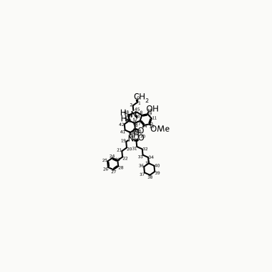 C=CCN1CC[C@]23c4c5c(O)cc(OC)c4O[C@H]2[C@@H](N(CCCCc2ccccc2)C(=O)CCCCC2CCCCC2)CC[C@H]3[C@H]1C5